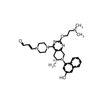 C[C@@H]1Cc2c(nc(OCCN(C)C)nc2N2CCN(C=CC=O)CC2)CN1c1cc(O)cc2ccccc12